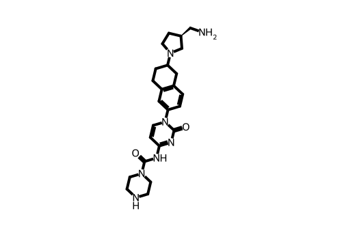 NC[C@@H]1CCN(C2CCc3cc(-n4ccc(NC(=O)N5CCNCC5)nc4=O)ccc3C2)C1